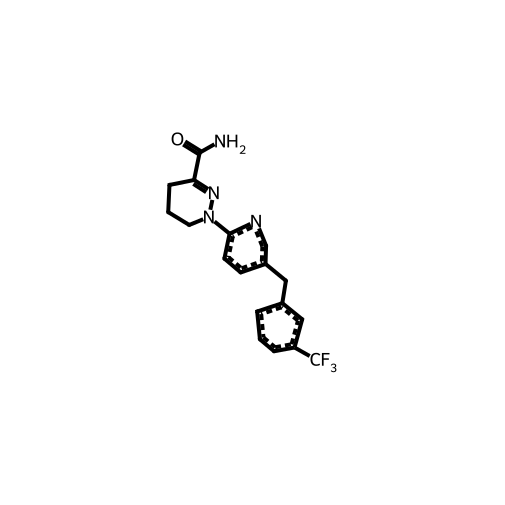 NC(=O)C1=NN(c2ccc(Cc3cccc(C(F)(F)F)c3)cn2)CCC1